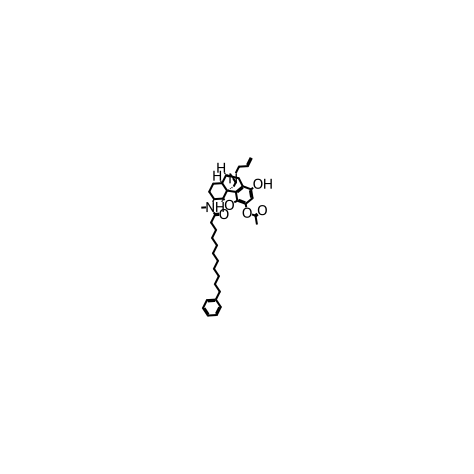 C=CCN1CC[C@]23c4c5c(O)cc(OC(C)=O)c4O[C@H]2[C@@H](N(C)C(=O)CCCCCCCCCCc2ccccc2)CC[C@H]3[C@H]1C5